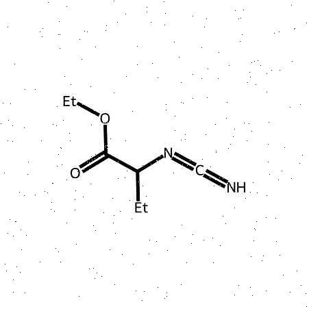 CCOC(=O)C(CC)N=C=N